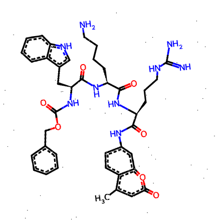 Cc1cc(=O)oc2cc(NC(=O)[C@H](CCCNC(=N)N)NC(=O)[C@H](CCCCN)NC(=O)[C@H](Cc3c[nH]c4ccccc34)NC(=O)OCc3ccccc3)ccc12